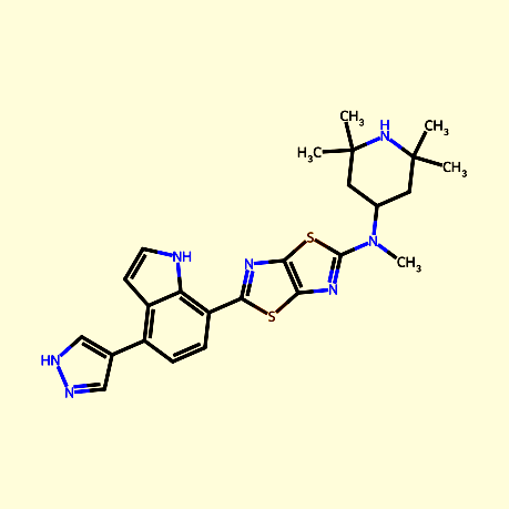 CN(c1nc2sc(-c3ccc(-c4cn[nH]c4)c4cc[nH]c34)nc2s1)C1CC(C)(C)NC(C)(C)C1